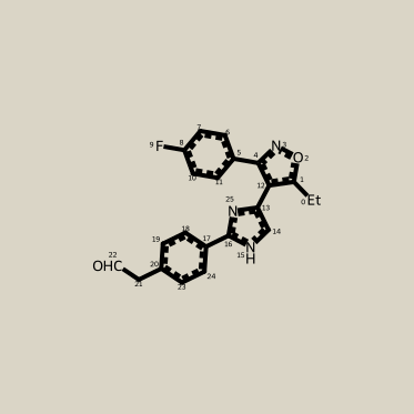 CCc1onc(-c2ccc(F)cc2)c1-c1c[nH]c(-c2ccc(CC=O)cc2)n1